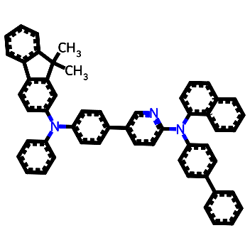 CC1(C)c2ccccc2-c2ccc(N(c3ccccc3)c3ccc(-c4ccc(N(c5ccc(-c6ccccc6)cc5)c5cccc6ccccc56)nc4)cc3)cc21